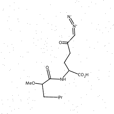 COC(CC(C)C)C(=O)NC(CCC(=O)C=[N+]=[N-])C(=O)O